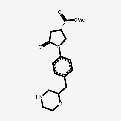 COC(=O)[C@H]1CC(=O)N(c2ccc(CC3CNCCO3)cc2)C1